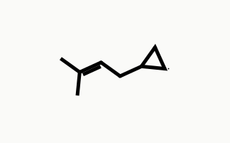 CC(C)=CCC1[CH]C1